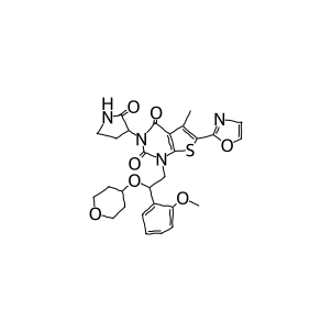 COc1ccccc1C(Cn1c(=O)n(C2CCNC2=O)c(=O)c2c(C)c(-c3ncco3)sc21)OC1CCOCC1